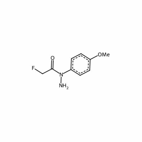 COc1ccc(N(N)C(=O)CF)cc1